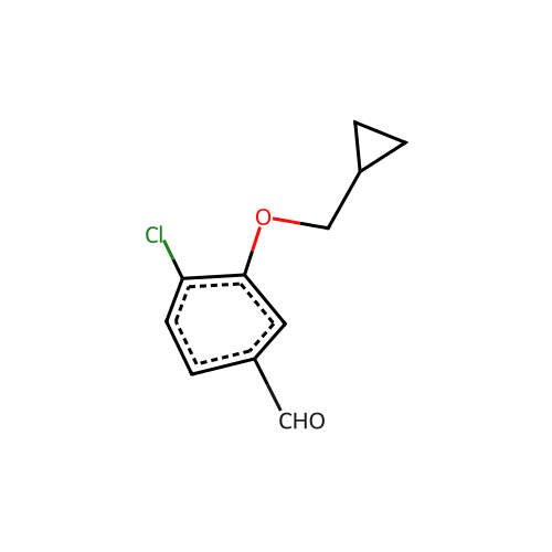 O=Cc1ccc(Cl)c(OCC2CC2)c1